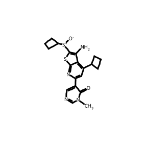 Cn1cncc(-c2cc(C3CCC3)c3c(N)c([S+]([O-])C4CCC4)sc3n2)c1=O